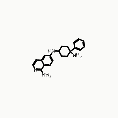 Nc1nccc2cc(NC3CCC(N)(c4ccccc4)CC3)ccc12